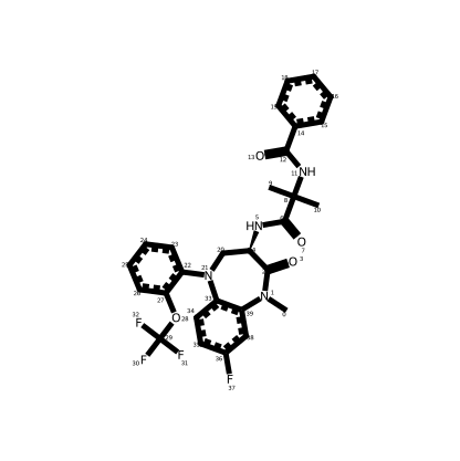 CN1C(=O)[C@H](NC(=O)C(C)(C)NC(=O)c2ccccc2)CN(c2ccccc2OC(F)(F)F)c2ccc(F)cc21